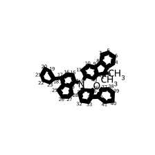 CC1(C)c2ccccc2-c2ccc(N(c3ccc(C4=CC=CCC4)c4ccccc34)c3cccc4c3oc3ccccc34)cc21